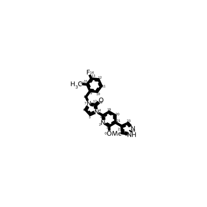 COc1nc(-n2ccn(Cc3cccc(F)c3C)c2=O)ccc1-c1cn[nH]c1